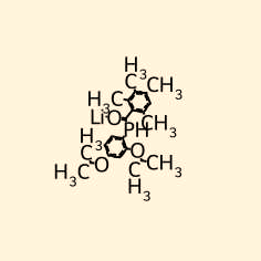 Cc1cc(C)c(C(=O)Pc2ccc(OC(C)C)cc2OC(C)C)c(C)c1C.[Li]